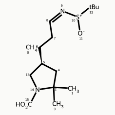 C.CC1(C)C[C@H](CC/C=N\[S+]([O-])C(C)(C)C)CN1C(=O)O